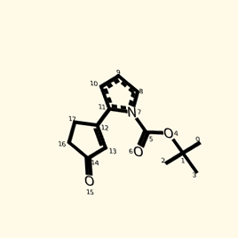 CC(C)(C)OC(=O)n1cccc1C1=CC(=O)CC1